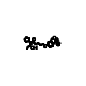 CCC(O)N(C(=O)CCCCOc1ccc([N+](=O)[O-])c(C=O)c1)C1CCCC1